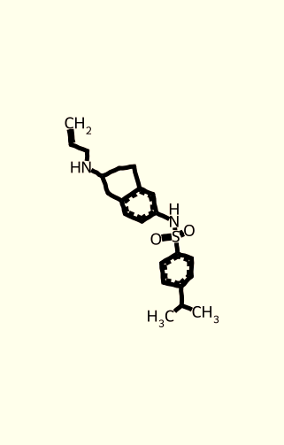 C=CCNC1CCc2cc(NS(=O)(=O)c3ccc(C(C)C)cc3)ccc2C1